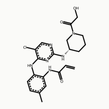 C=CC(=O)Nc1cc(C)ccc1Nc1nc(N[C@H]2CCCN(C(=O)CO)C2)ncc1Cl